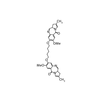 COc1cc2c(cc1OCCCCCOc1cc3c(cc1OC)C(=O)N1C=C(C)CC1C=N3)N=CC1CC(C)=CN1C2=O